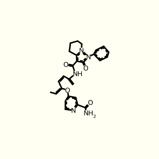 C=C(/C=C\C(=C/C)Oc1ccnc(C(N)=O)c1)NC(=O)c1c2n(n(-c3ccccc3)c1=O)CCCC2